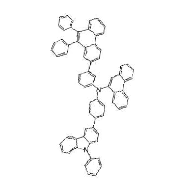 c1ccc(-c2c(-c3ccccc3)c3cc(-c4cccc(N(c5ccc(-c6ccc7c(c6)c6ccccc6n7-c6ccccc6)cc5)c5cc6ccccc6c6ccccc56)c4)ccc3c3ccccc23)cc1